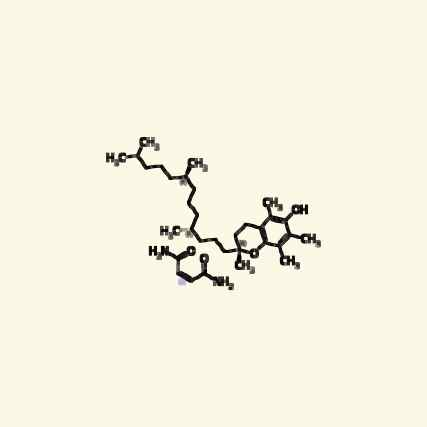 Cc1c(C)c2c(c(C)c1O)CC[C@@](C)(CCC[C@H](C)CCC[C@H](C)CCCC(C)C)O2.NC(=O)/C=C\C(N)=O